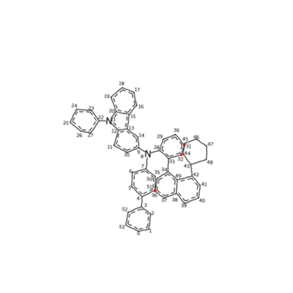 c1ccc(-c2ccc(N(c3ccc4c(c3)c3ccccc3n4-c3ccccc3)c3ccccc3-c3cccc4cccc(C5CCCCC5)c34)cc2)cc1